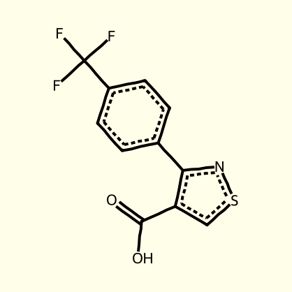 O=C(O)c1csnc1-c1ccc(C(F)(F)F)cc1